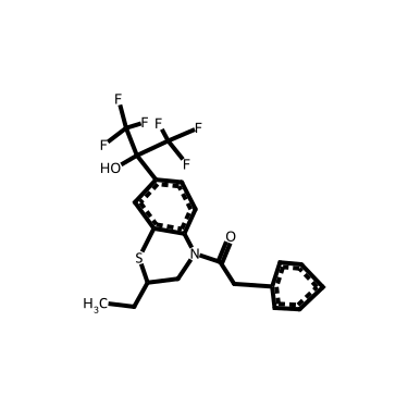 CCC1CN(C(=O)Cc2ccccc2)c2ccc(C(O)(C(F)(F)F)C(F)(F)F)cc2S1